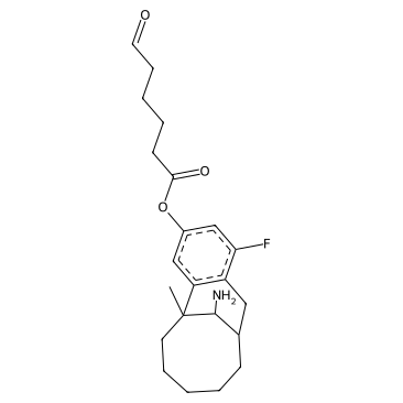 CC12CCCCCC(Cc3c(F)cc(OC(=O)CCCCC=O)cc31)C2N